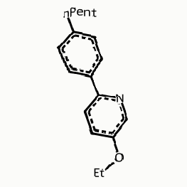 CCCCCc1ccc(-c2ccc(OCC)cn2)cc1